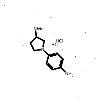 CNC1CCN(c2ccc(N)cc2)C1.Cl.Cl